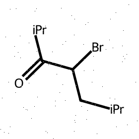 CC(C)CC(Br)C(=O)C(C)C